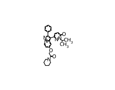 CC(C)n1nc(-c2c(-c3ccccc3)nn3ccc(OCC(=O)N4CCCCC4)cc23)ccc1=O